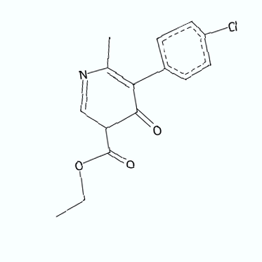 CCOC(=O)C1C=NC(C)=C(c2ccc(Cl)cc2)C1=O